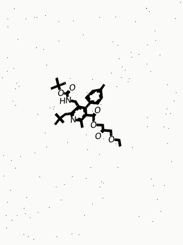 CCOCC(=O)COC(=O)c1c(C)nc(CC(C)(C)C)c(CNC(=O)OC(C)(C)C)c1-c1ccc(C)cc1